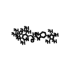 [2H]c1nc(C[S+]([O-])c2nc3cc(-n4c([2H])c([2H])c([2H])c4[2H])ccc3[nH]2)c(C([2H])([2H])[2H])c(OC([2H])([2H])[2H])c1[2H]